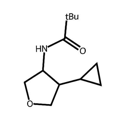 CC(C)(C)C(=O)NC1COCC1C1CC1